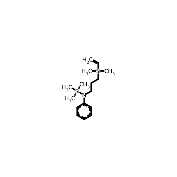 C=C[Si](C)(C)CCCN(c1ccccc1)[Si](C)(C)C